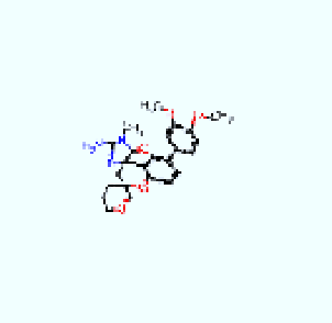 COc1ccc(-c2ccc3c(c2)[C@]2(C[C@@]4(CCCOC4)O3)N=C(N)N(C)C2=O)cc1OC